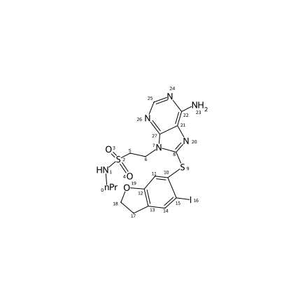 CCCNS(=O)(=O)CCn1c(Sc2cc3c(cc2I)CCO3)nc2c(N)ncnc21